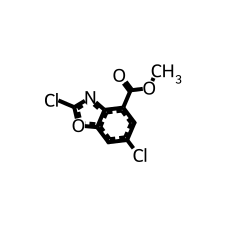 COC(=O)c1cc(Cl)cc2oc(Cl)nc12